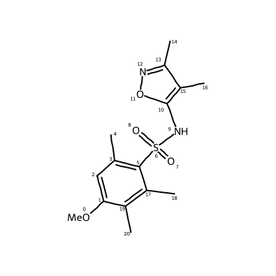 COc1cc(C)c(S(=O)(=O)Nc2onc(C)c2C)c(C)c1C